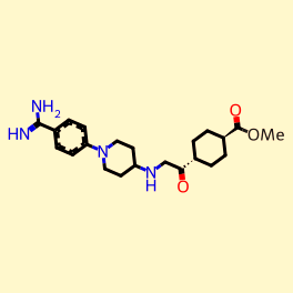 COC(=O)[C@H]1CC[C@H](C(=O)CNC2CCN(c3ccc(C(=N)N)cc3)CC2)CC1